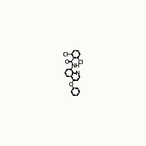 O=C(Nc1cccc2c(Oc3ccccc3)ccnc12)c1c(Cl)cccc1Cl